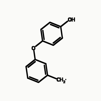 [CH2]c1cccc(Oc2ccc(O)cc2)c1